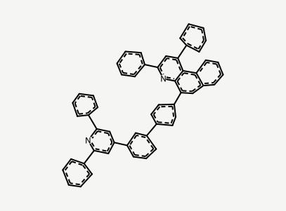 c1ccc(-c2cc(-c3cccc(-c4ccc(-c5cc6ccccc6c6c(-c7ccccc7)cc(-c7ccccc7)nc56)cc4)c3)cc(-c3ccccc3)n2)cc1